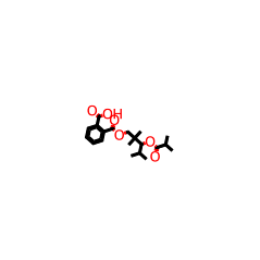 CC(C)C(=O)OC(C(C)C)C(C)(C)COC(=O)c1ccccc1C(=O)O